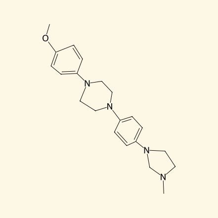 COc1ccc(N2CCN(c3ccc(N4CCN(C)C4)cc3)CC2)cc1